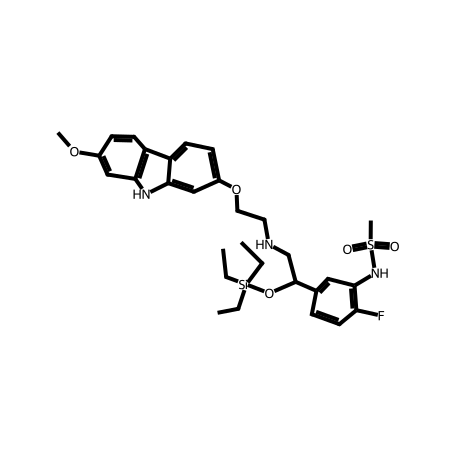 CC[Si](CC)(CC)OC(CNCCOc1ccc2c(c1)[nH]c1cc(OC)ccc12)c1ccc(F)c(NS(C)(=O)=O)c1